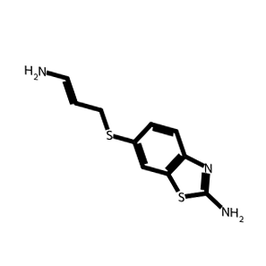 NC=CCSc1ccc2nc(N)sc2c1